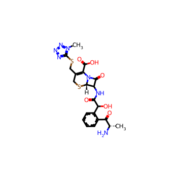 C[C@H](N)C(=O)c1ccccc1C(O)C(=O)NC1C(=O)N2C(C(=O)O)=C(CSc3nnnn3C)CS[C@@H]12